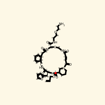 C=CCOC[C@@]12CCCN(C1)C(=O)/C=C/C(=O)NCC[C@@H](C(=O)NCCOCCN)NC(=O)Cc1ccccc1CNC(=O)[C@H](Cc1ccco1)NC2=O